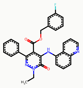 CCn1nc(-c2ccccc2)c(C(=O)OCc2cccc(F)c2)c(Nc2cccc3ncccc23)c1=O